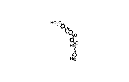 CC1(C)C(c2ccc(C(=O)O)cc2)=CC[C@]2(C)CN(C(=O)c3cccc(C(=O)NCCCN4CCS(=O)(=O)CC4)c3)CC=C12